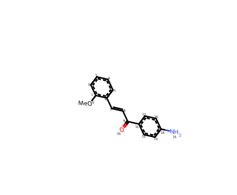 COc1ccccc1C=CC(=O)c1ccc(N)cc1